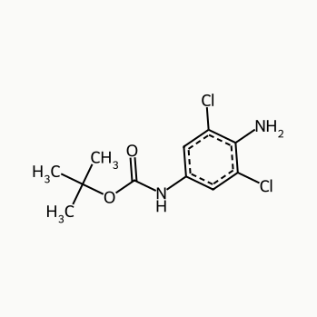 CC(C)(C)OC(=O)Nc1cc(Cl)c(N)c(Cl)c1